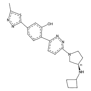 Cc1nnc(-c2ccc(-c3ccc(N4CC[C@@H](NC5CCC5)C4)nn3)c(O)c2)s1